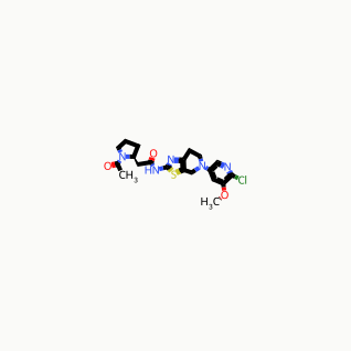 COc1cc(N2CCc3nc(NC(=O)C[C@@H]4CCCN4C(C)=O)sc3C2)cnc1Cl